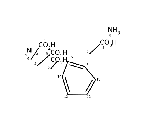 CC(=O)O.CC(=O)O.CC(=O)O.CC(=O)O.N.N.c1ccccc1